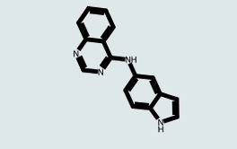 c1ccc2c(Nc3ccc4[nH]ccc4c3)ncnc2c1